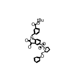 CC(C)(C)OC(=O)c1cccc(CN2C(=O)C(=O)c3cc(S(=O)(=O)N4CCC[C@H]4COc4ccccc4)ccc32)c1